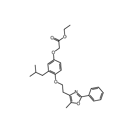 CCOC(=O)COc1ccc(OCCc2nc(-c3ccccc3)oc2C)c(CC(C)C)c1